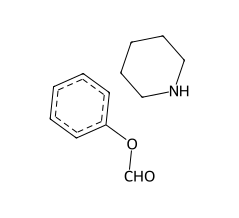 C1CCNCC1.O=COc1ccccc1